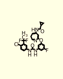 CC(F)(F)c1cc(NC(=O)Nc2cc(F)cc(OC3=CC(NC(=O)C4CC4)=CCC=N3)c2)ccc1Cl